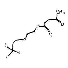 CC(=O)CC(=O)OCCOCC(F)(F)F